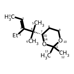 CC=C(CC)C(C)(C)[C@@H]1CCOC(C)(C)O1